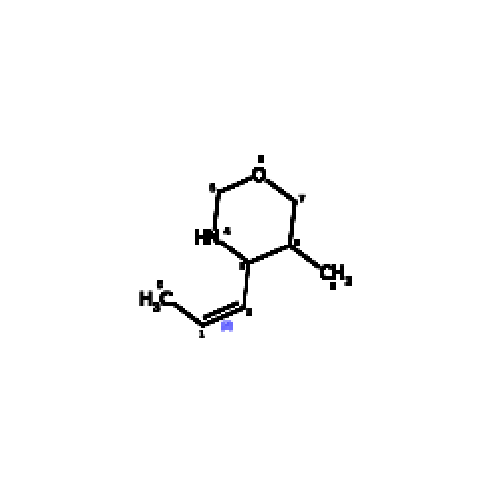 C/C=C\C1NCOCC1C